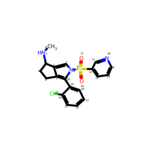 CNC1CCc2c1cn(S(=O)(=O)c1cccnc1)c2-c1ccccc1Cl